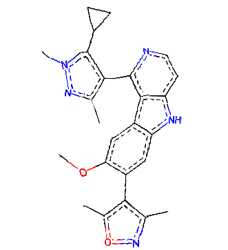 COc1cc2c(cc1-c1c(C)noc1C)[nH]c1ccnc(-c3c(C)nn(C)c3C3CC3)c12